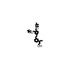 CC/C(=C/CO)c1cccc(CCc2ccc(CO[Si](C)(C)C(C)(C)C)c(CO[Si](C)(C)C(C)(C)C)c2)c1